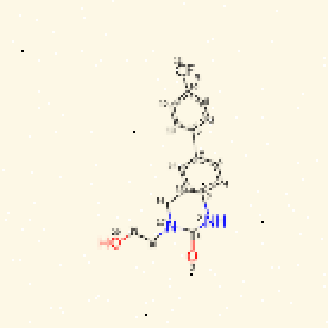 O=C1Nc2ccc(-c3ccc(C(F)(F)F)cc3)cc2CN1CCO